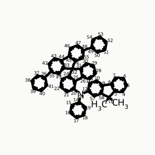 CC1(C)c2ccccc2-c2ccc(N(c3ccccc3)c3cccc4c3-c3ccccc3C43c4cc(-c5ccccc5)ccc4-c4ccc(-c5ccccc5)cc43)cc21